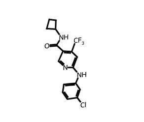 O=C(NC1CCC1)c1cnc(Nc2cccc(Cl)c2)cc1C(F)(F)F